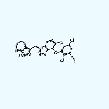 [C-]#[N+]c1cc(Cl)cc(Oc2c(Cl)ccc3c2nnn3Cc2n[nH]c3ncccc23)c1Cl